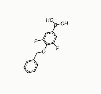 OB(O)c1cc(F)c(OCc2ccccc2)c(F)c1